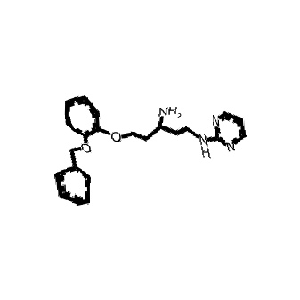 NC(CCNc1ncccn1)CCOc1ccccc1OCc1ccccc1